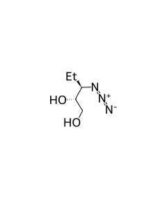 CC[C@@H](N=[N+]=[N-])[C@@H](O)CO